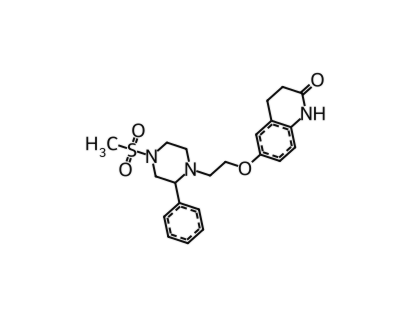 CS(=O)(=O)N1CCN(CCOc2ccc3c(c2)CCC(=O)N3)C(c2ccccc2)C1